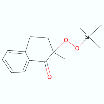 CC1(OO[Si](C)(C)C)CCc2ccccc2C1=O